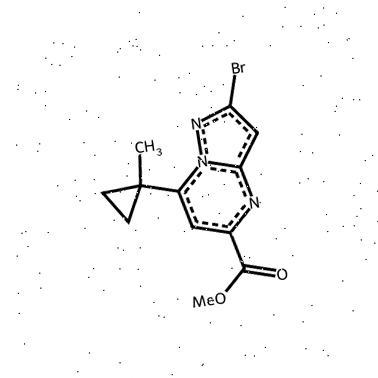 COC(=O)c1cc(C2(C)CC2)n2nc(Br)cc2n1